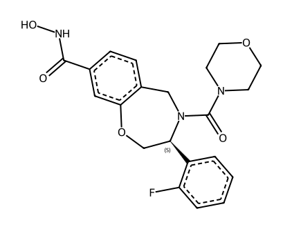 O=C(NO)c1ccc2c(c1)OC[C@H](c1ccccc1F)N(C(=O)N1CCOCC1)C2